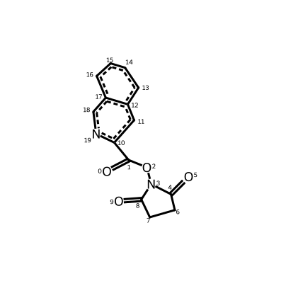 O=C(ON1C(=O)CCC1=O)c1cc2ccccc2cn1